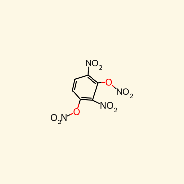 O=[N+]([O-])Oc1ccc([N+](=O)[O-])c(O[N+](=O)[O-])c1[N+](=O)[O-]